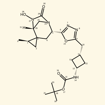 C[C@@H]1CC12C[C@@H](c1nnc(C[C@H]3C[C@@H](NC(=O)OC(C)(C)C)C3)o1)N1C[C@H]2N(O)C1=O